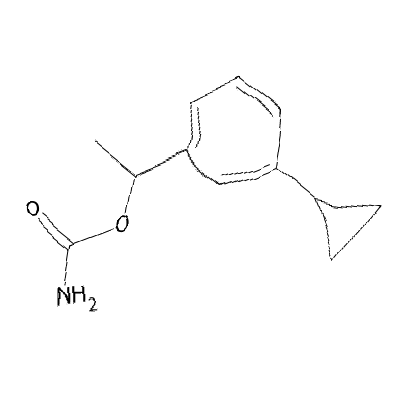 CC(OC(N)=O)c1cccc(C2CC2)c1